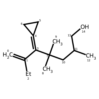 C=C(CC)C(=C1CC1)C(C)(C)CC(C)CO